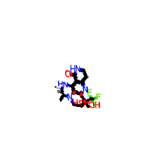 CC([C@H](C)Nc1cc(C(C)(O)C(F)(F)F)nc2cc[nH]c(=O)c12)N1CCC(O)CC1